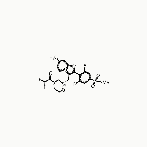 CNS(=O)(=O)c1cc(F)c(-c2nc3cc(C)ccn3c2C[C@H]2CN(C(=O)C(F)F)CCO2)c(F)c1